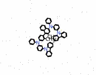 Cc1cc(N(c2ccccc2)c2cccc(-n3c4ccccc4c4ccccc43)c2)ccc1-c1c(C)cc(N(c2ccccc2)c2cccc(-n3c4ccccc4c4ccccc43)c2)c2ccccc12